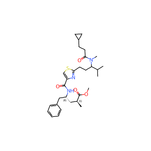 COC(=O)[C@@H](C)C[C@H](Cc1ccccc1)NC(=O)c1csc(CCC(C(C)C)N(C)C(=O)CCC2CC2)n1